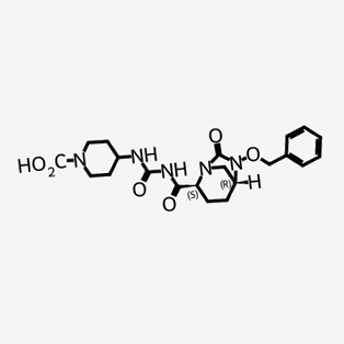 O=C(NC(=O)[C@@H]1CC[C@@H]2CN1C(=O)N2OCc1ccccc1)NC1CCN(C(=O)O)CC1